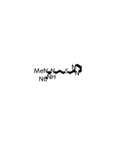 CNC(=NCCCSCc1ncccn1)NC#N